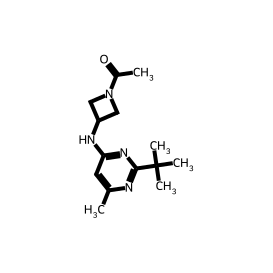 CC(=O)N1CC(Nc2cc(C)nc(C(C)(C)C)n2)C1